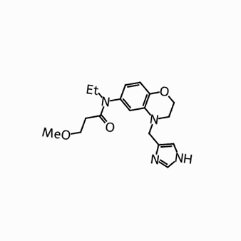 CCN(C(=O)CCOC)c1ccc2c(c1)N(Cc1c[nH]cn1)CCO2